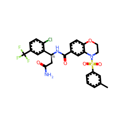 Cc1cccc(S(=O)(=O)N2CCOc3ccc(C(=O)N[C@@H](CC(N)=O)c4cc(C(F)(F)F)ccc4Cl)cc32)c1